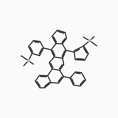 C[Si](C)(C)c1cccc(-c2c3ccccc3c(-c3cccc([Si](C)(C)C)c3)c3cc4c(cc23)c(-c2ccccc2)cc2ccccc24)c1